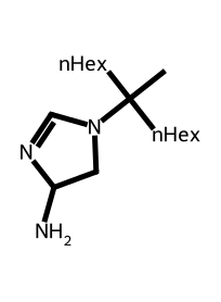 CCCCCCC(C)(CCCCCC)N1C=NC(N)C1